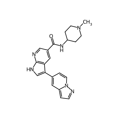 CN1CCC(NC(=O)c2cnc3[nH]cc(-c4ccn5nccc5c4)c3c2)CC1